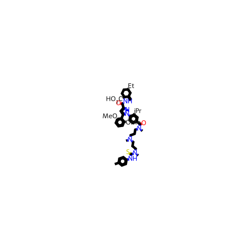 C=C1CC(CC)CCC1(NC(=O)c1cc(-c2c(OC)cccc2OC)n(-c2ccc(C(=O)N(C)CCCN(C)CCCN(C)C(=S)Nc3ccc(C)cc3)cc2C(C)C)n1)C(=O)O